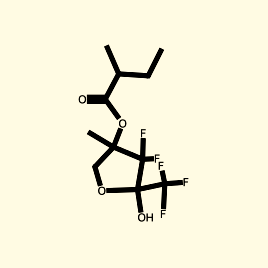 CCC(C)C(=O)OC1(C)COC(O)(C(F)(F)F)C1(F)F